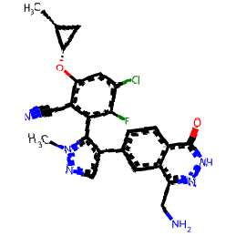 C[C@H]1C[C@@H]1Oc1cc(Cl)c(F)c(-c2c(-c3ccc4c(=O)[nH]nc(CN)c4c3)cnn2C)c1C#N